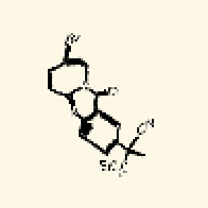 CCOC(=O)C(C)(C#N)c1ccc2nc3ccc(Br)cn3c(=O)c2c1